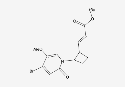 COc1cn(C2CCC2/C=C/C(=O)OC(C)(C)C)c(=O)cc1Br